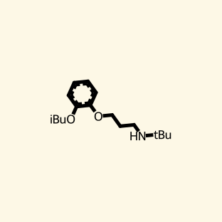 CC(C)COc1ccccc1OCCCNC(C)(C)C